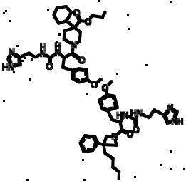 CCCCCC1(c2ccccc2)CN(C(=O)C(Cc2ccc(OC)cc2)NC(=O)NCCc2c[nH]cn2)C1.CCCOC(=O)C1(C2CCCCC2)CCN(C(=O)C(Cc2ccc(OC)cc2)NC(=O)NCCc2c[nH]cn2)CC1